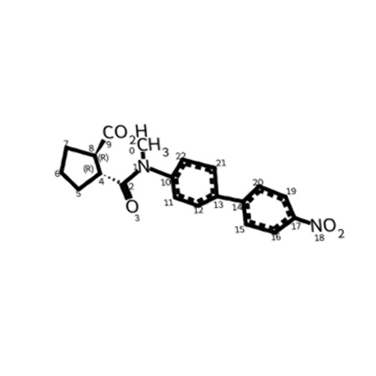 CN(C(=O)[C@@H]1CCC[C@H]1C(=O)O)c1ccc(-c2ccc([N+](=O)[O-])cc2)cc1